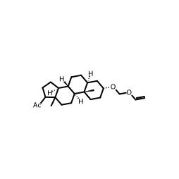 C=COCO[C@@H]1CC[C@@]2(C)[C@@H](CC[C@H]3[C@@H]4CCC(C(C)=O)C4(C)CC[C@@H]32)C1